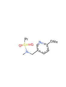 COc1ccc(CN(C)S(=O)(=O)C(C)C)cn1